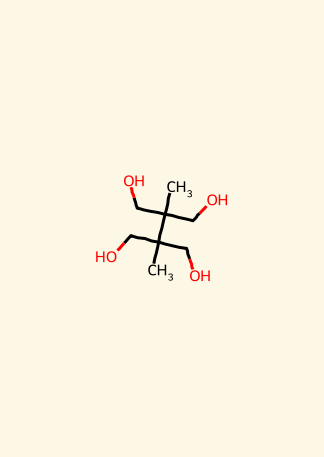 CC(CO)(CO)C(C)(CO)CO